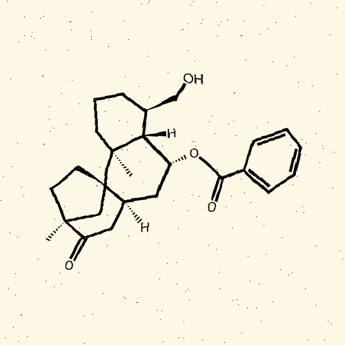 C[C@]12CC[C@]3(C1)[C@H](CC2=O)C[C@@H](OC(=O)c1ccccc1)[C@H]1[C@H](CO)CCC[C@@]13C